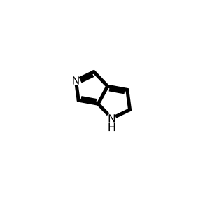 C1=NC=C2NCC=C12